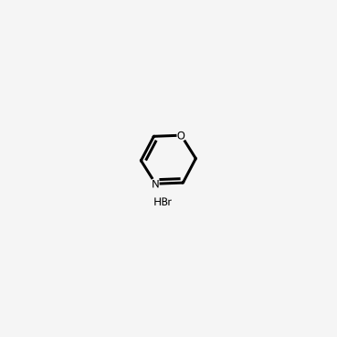 Br.C1=COCC=N1